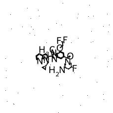 Cn1c(-c2cc3cccnc3n2CC2CC2)nc2cc(C(=O)N3C[C@@H](N)C[C@H](F)C3)cc(OCC(F)F)c21